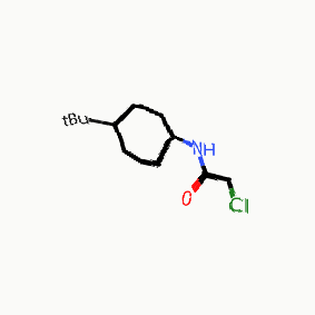 CC(C)(C)C1CCC(NC(=O)CCl)CC1